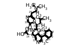 Cc1cccc(C)c1-c1cncc([C@H](CC(=O)O)NC(=O)[C@H](CC(C)C)n2cc(CCN(C)C)ncc2=O)c1